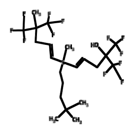 CC(C)(C)CCCS(C)(/C=C/CC(C)(C(F)(F)F)C(F)(F)F)/C=C/CC(O)(C(F)(F)F)C(F)(F)F